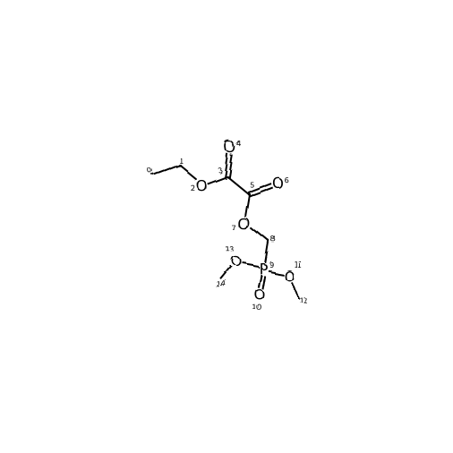 CCOC(=O)C(=O)OCP(=O)(OC)OC